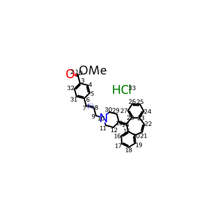 COC(=O)c1ccc(/C=C/CN2CCC(=C3c4ccccc4C=Cc4ccccc43)CC2)cc1.Cl